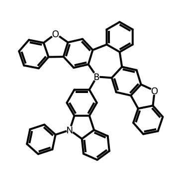 c1ccc(-n2c3ccccc3c3cc(B4c5cc6c(cc5-c5ccccc5-c5cc7oc8ccccc8c7cc54)oc4ccccc46)ccc32)cc1